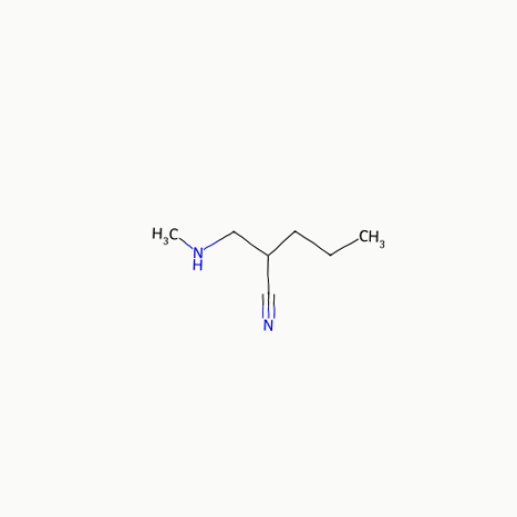 CCCC(C#N)CNC